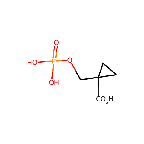 O=C(O)C1(COP(=O)(O)O)CC1